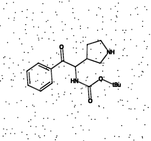 CC(C)(C)OC(=O)NC(C(=O)c1ccccc1)C1CCNC1